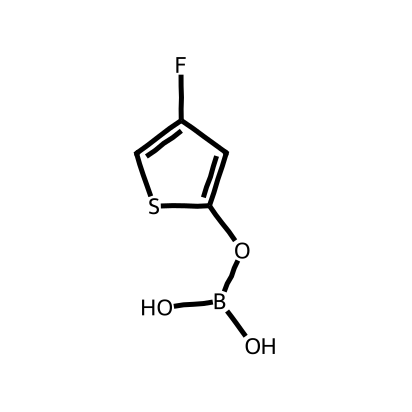 OB(O)Oc1cc(F)cs1